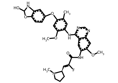 COc1cc2ncnc(Nc3cc(C)c(Oc4ccc5c(c4)NC(O)O5)cc3OC)c2cc1NC(=O)/C(F)=C/[C@H]1CCCN1C